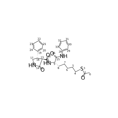 CC(=O)SCCCCC[C@H](NC(=O)[C@H]1C(=O)NC[C@@H]1c1ccccc1)C(=O)Nc1ccccc1